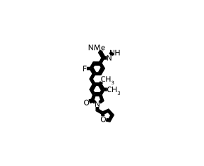 CN/C=C(\N=N)c1ccc(Cc2cc3c(c(C)c2C)CN(CC2CCCO2)C3=O)c(F)c1